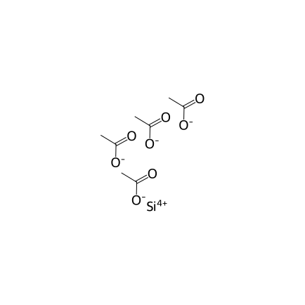 CC(=O)[O-].CC(=O)[O-].CC(=O)[O-].CC(=O)[O-].[Si+4]